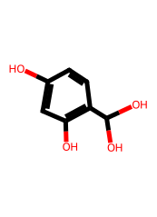 Oc1ccc(C(O)O)c(O)c1